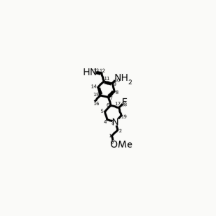 COCCN1CCC(c2cc(N)c(C=N)cc2C)C(F)C1